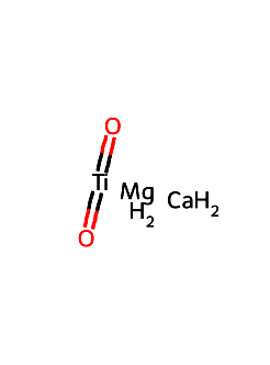 [CaH2].[MgH2].[O]=[Ti]=[O]